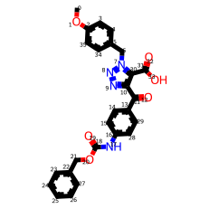 COc1ccc(Cn2nnc(C(=O)c3ccc(NC(=O)OCc4ccccc4)cc3)c2C(=O)O)cc1